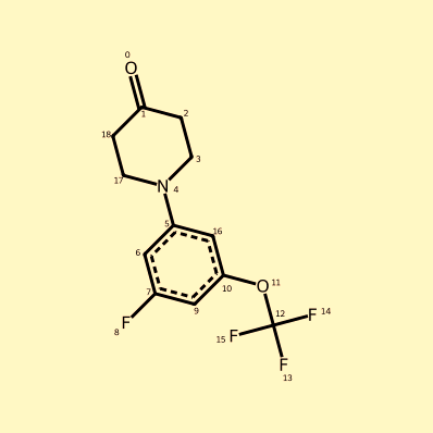 O=C1CCN(c2cc(F)cc(OC(F)(F)F)c2)CC1